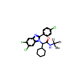 CCC(C)C(CC)(NC(=O)C(C1CCCCC1)n1c(-c2ccc(Cl)cc2)nc2cc(F)c(Cl)cc21)C(C)C